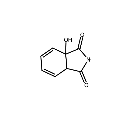 O=C1[N]C(=O)C2(O)C=CC=CC12